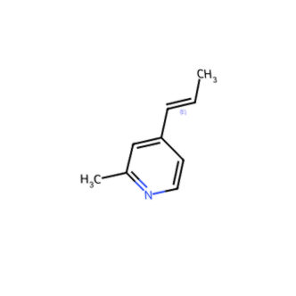 C/C=C/c1ccnc(C)c1